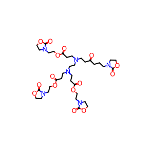 O=C(CCCN1CCOC1=O)CCN(CCC(=O)OCCN1CCOC1=O)CCN(CCC(=O)OCCN1CCOC1=O)CCC(=O)OCCN1CCOC1=O